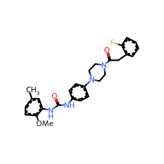 COc1ccc(C)cc1NC(=O)Nc1ccc(N2CCN(C(=O)Cc3ccccc3F)CC2)cc1